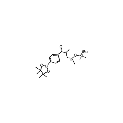 C[C@@H](CN(C)C(=O)c1ccc(B2OC(C)(C)C(C)(C)O2)cc1)O[Si](C)(C)C(C)(C)C